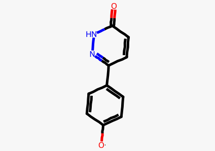 [O]c1ccc(-c2ccc(=O)[nH]n2)cc1